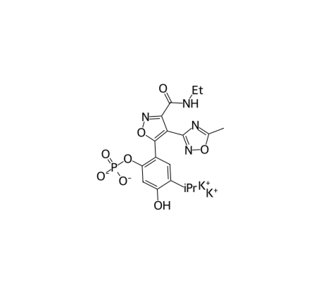 CCNC(=O)c1noc(-c2cc(C(C)C)c(O)cc2OP(=O)([O-])[O-])c1-c1noc(C)n1.[K+].[K+]